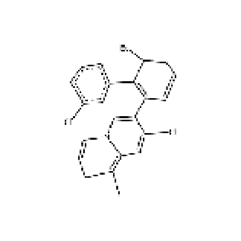 CCC1CC=CC(C2=CN3C=CCC(C)=C3C=C2Cl)=C1c1cccc(Cl)c1